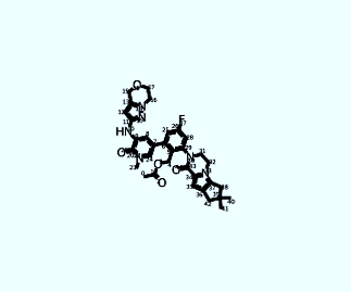 CC(=O)OCc1c(-c2cc(Nc3cc4n(n3)CCOC4)c(=O)n(C)c2)cc(F)cc1N1CCn2c(cc3c2CC(C)(C)C3)C1=O